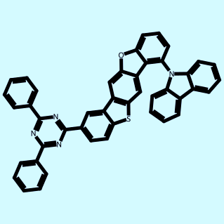 c1ccc(-c2nc(-c3ccccc3)nc(-c3ccc4sc5cc6c(cc5c4c3)oc3cccc(-n4c5ccccc5c5ccccc54)c36)n2)cc1